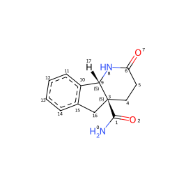 NC(=O)[C@]12CCC(=O)N[C@H]1c1ccccc1C2